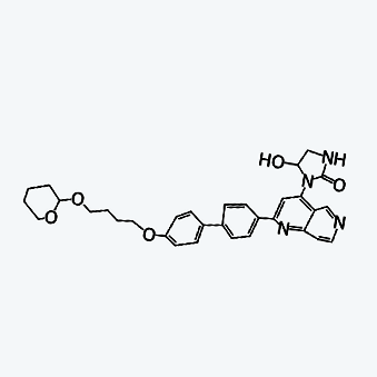 O=C1NCC(O)N1c1cc(-c2ccc(-c3ccc(OCCCCOC4CCCCO4)cc3)cc2)nc2ccncc12